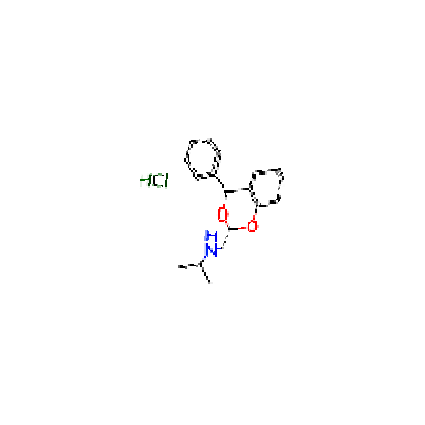 CC(C)NC[C@H]1Oc2ccccc2[C@@H](c2ccccc2)O1.Cl